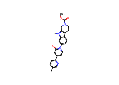 Cc1ccc(-c2ccn(-c3ccc4c5c(n(C)c4c3)CN(C(=O)OC(C)(C)C)CC5)c(=O)c2)nc1